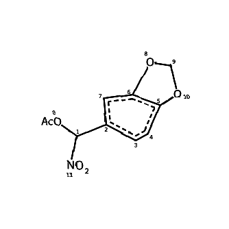 CC(=O)OC(c1ccc2c(c1)OCO2)[N+](=O)[O-]